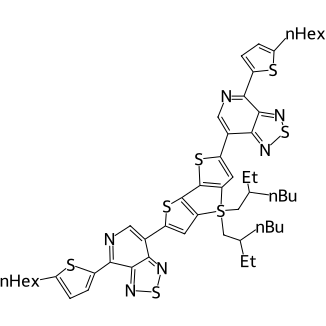 CCCCCCc1ccc(-c2ncc(-c3cc4c(s3)-c3sc(-c5cnc(-c6ccc(CCCCCC)s6)c6nsnc56)cc3S4(CC(CC)CCCC)CC(CC)CCCC)c3nsnc23)s1